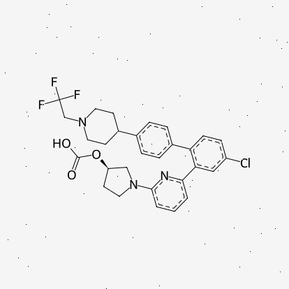 O=C(O)O[C@@H]1CCN(c2cccc(-c3cc(Cl)ccc3-c3ccc(C4CCN(CC(F)(F)F)CC4)cc3)n2)C1